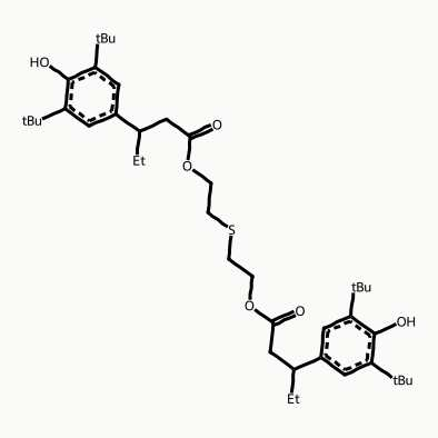 CCC(CC(=O)OCCSCCOC(=O)CC(CC)c1cc(C(C)(C)C)c(O)c(C(C)(C)C)c1)c1cc(C(C)(C)C)c(O)c(C(C)(C)C)c1